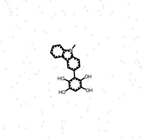 Cn1c2ccccc2c2cc(-c3c(O)c(O)cc(O)c3O)ccc21